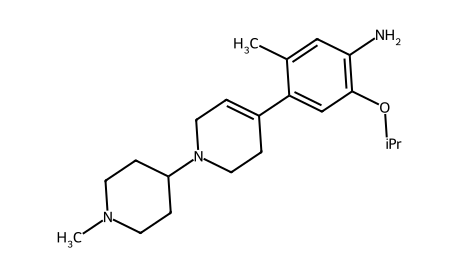 Cc1cc(N)c(OC(C)C)cc1C1=CCN(C2CCN(C)CC2)CC1